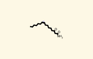 CCCCCC/C=C\CCCCCC(=O)CC(N)=O